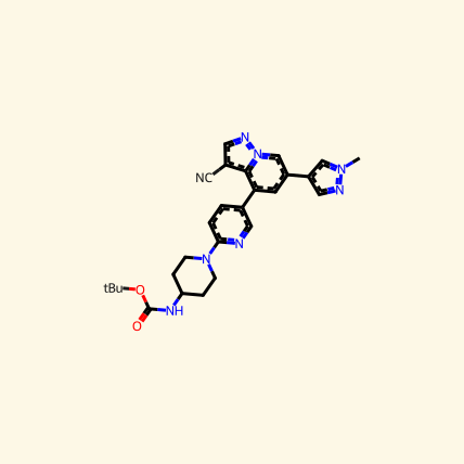 Cn1cc(-c2cc(-c3ccc(N4CCC(NC(=O)OC(C)(C)C)CC4)nc3)c3c(C#N)cnn3c2)cn1